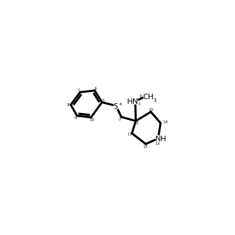 CNC1(CSc2ccccc2)CCNCC1